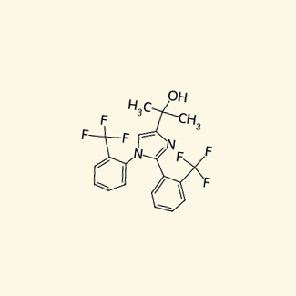 CC(C)(O)c1cn(-c2ccccc2C(F)(F)F)c(-c2ccccc2C(F)(F)F)n1